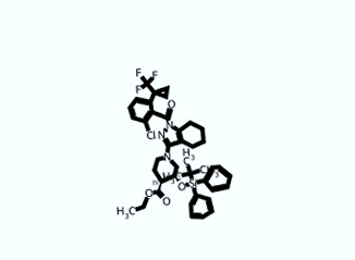 CCOC(=O)[C@H]1CCN(c2nn(C(=O)c3c(Cl)cccc3C3(C(F)(F)F)CC3)c3c2CCCC3)C[C@@H]1O[Si](c1ccccc1)(c1ccccc1)C(C)(C)C